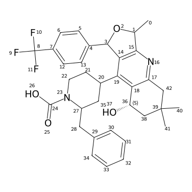 CC1OC(c2ccc(C(F)(F)F)cc2)c2c1nc1c(c2C2CCN(C(=O)O)C(Cc3ccccc3)C2)[C@@H](O)CC(C)(C)C1